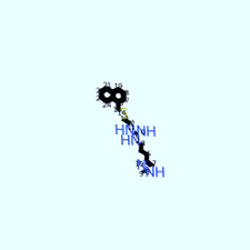 N=C(NCCCc1c[nH]cn1)NCCSCc1cccc2ccccc12